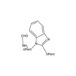 CCCCCc1nc2ccccc2n1CCCCC.NC=O